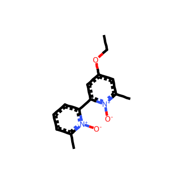 CCOc1cc(C)[n+]([O-])c(-c2cccc(C)[n+]2[O-])c1